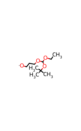 CCOC(OCCC[O])OC(C)(C)C